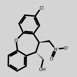 O=[N+]([O-])C[C@@H]1c2cc(Cl)ccc2Oc2ccccc2[C@H]1CO